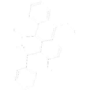 CCOc1c2ccccc2c(OCC)c2c(C(c3ccccc3)[N+](=O)[O-])c(S(=O)(=O)O)ccc12